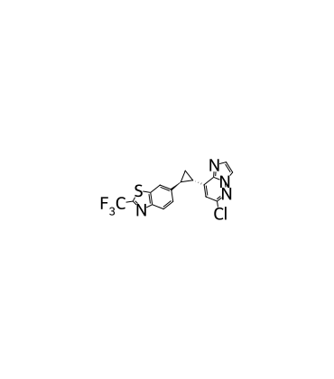 FC(F)(F)c1nc2ccc([C@H]3C[C@@H]3c3cc(Cl)nn4ccnc34)cc2s1